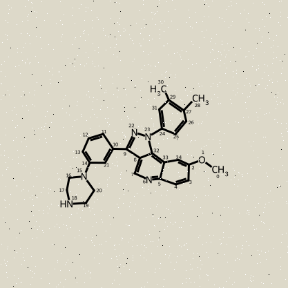 COc1ccc2ncc3c(-c4cccc(N5CCNCC5)c4)nn(-c4ccc(C)c(C)c4)c3c2c1